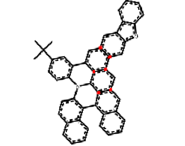 CC(C)(C)c1ccc(N(c2cccc(-c3ccc4c(c3)oc3ccccc34)c2)c2ccc3ccccc3c2-c2cccc3ccccc23)c(-c2ccccc2)c1